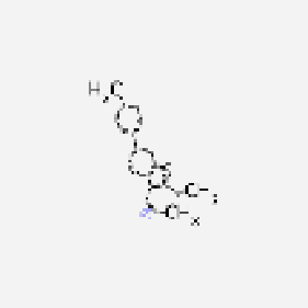 C=Cc1sc2cc(-c3ccc(C)cc3)ccc2c1/C=C\C